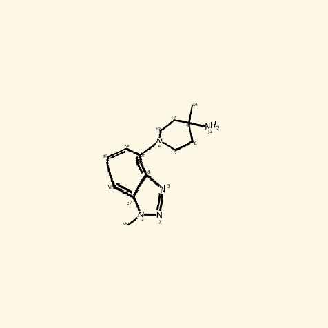 Cn1nnc2c(N3CCC(C)(N)CC3)cccc21